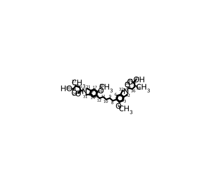 COc1cc2c(cc1CCCCCc1cc3c(cc1OC)CN(C(=O)C[C@H](C)C(=O)O)C3)CN(C(=O)C[C@H](C)C(=O)O)C2